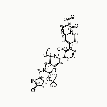 COc1nc(-c2cccc(-c3ccn4c(=O)c(C=O)cnc4c3)c2Cl)ccc1CN(C[C@@H]1CCC(=O)N1)C(=O)OC(C)(C)C